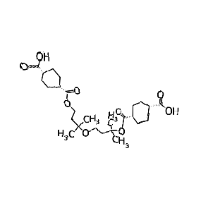 CC(C)(CCOC(=O)[C@H]1CC[C@@H](C(=O)O)CC1)OCCC(C)(C)OC(=O)[C@H]1CC[C@@H](C(=O)O)CC1